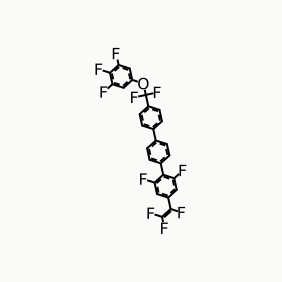 FC(F)=C(F)c1cc(F)c(-c2ccc(-c3ccc(C(F)(F)Oc4cc(F)c(F)c(F)c4)cc3)cc2)c(F)c1